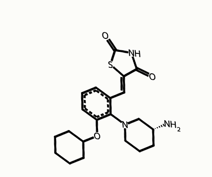 N[C@@H]1CCCN(c2c(C=C3SC(=O)NC3=O)cccc2OC2CCCCC2)C1